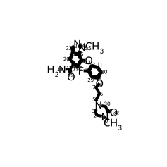 CN1CCN(CCCOc2ccc(Oc3cc(C(N)=O)cc4cnn(C)c34)c(F)c2)CC1=O